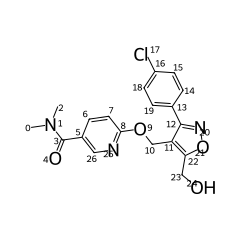 CN(C)C(=O)c1ccc(OCc2c(-c3ccc(Cl)cc3)noc2CO)nc1